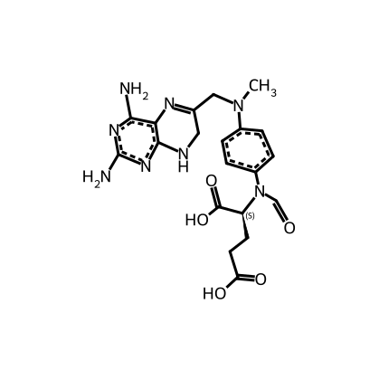 CN(CC1=Nc2c(N)nc(N)nc2NC1)c1ccc(N(C=O)[C@@H](CCC(=O)O)C(=O)O)cc1